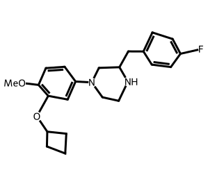 COc1ccc(N2CCNC(Cc3ccc(F)cc3)C2)cc1OC1CCC1